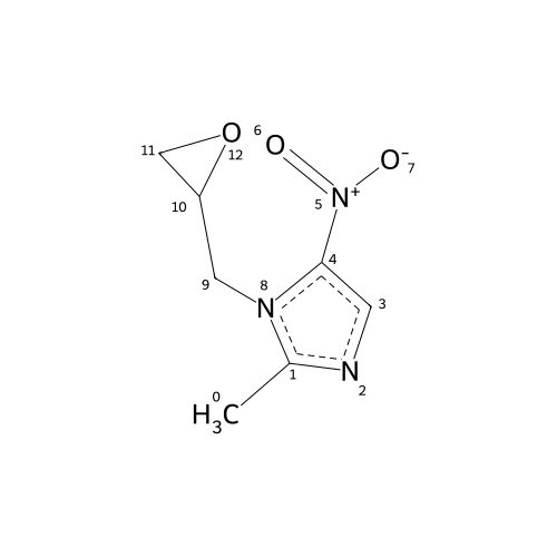 Cc1ncc([N+](=O)[O-])n1CC1CO1